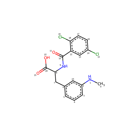 CNc1cccc(CC(NC(=O)c2cc(Cl)ccc2Cl)C(=O)O)c1